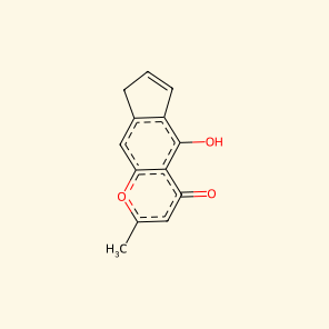 Cc1cc(=O)c2c(O)c3c(cc2o1)CC=C3